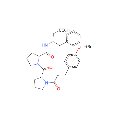 CC(C)(C)Oc1ccc(CCC(=O)N2CCCC2C(=O)N2CCCC2C(=O)NC(CC(=O)O)Cc2ccccc2)cc1